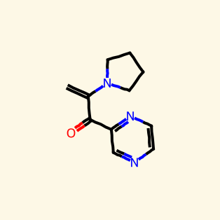 C=C(C(=O)c1cnccn1)N1CCCC1